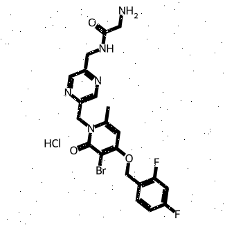 Cc1cc(OCc2ccc(F)cc2F)c(Br)c(=O)n1Cc1cnc(CNC(=O)CN)cn1.Cl